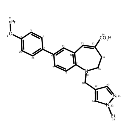 CCCOc1ccc(-c2ccc3c(c2)C=C(C(=O)O)CCN3Cc2cnn(CC)c2)cc1